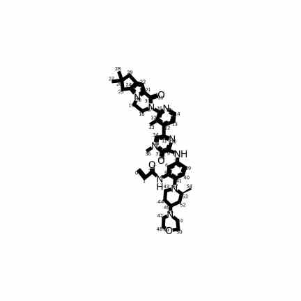 C=CC(=O)Nc1cc(Nc2nc(-c3ccnc(N4CCn5c(cc6c5CC(C)(C)C6)C4=O)c3C)cn(C)c2=O)ccc1N1CCC(N2CCOCC2)C[C@@H]1C